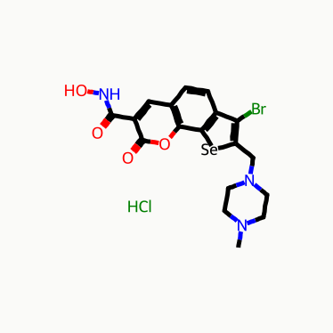 CN1CCN(Cc2[se]c3c(ccc4cc(C(=O)NO)c(=O)oc43)c2Br)CC1.Cl